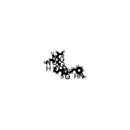 CCC(C)C(C(CC(=O)N1CCCC1C(OC)C(C)C(=O)NCCc1cccc(NC)c1)OC)N(C)C(=O)CNC